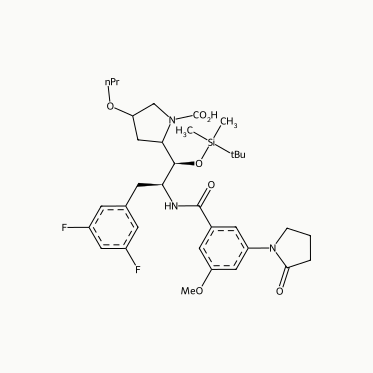 CCCOC1CC([C@@H](O[Si](C)(C)C(C)(C)C)[C@H](Cc2cc(F)cc(F)c2)NC(=O)c2cc(OC)cc(N3CCCC3=O)c2)N(C(=O)O)C1